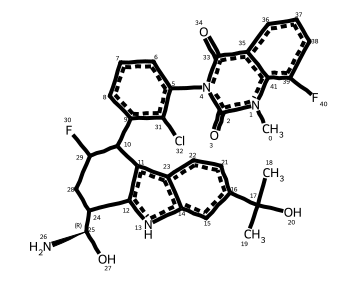 Cn1c(=O)n(-c2cccc(C3c4c([nH]c5cc(C(C)(C)O)ccc45)C([C@H](N)O)CC3F)c2Cl)c(=O)c2cccc(F)c21